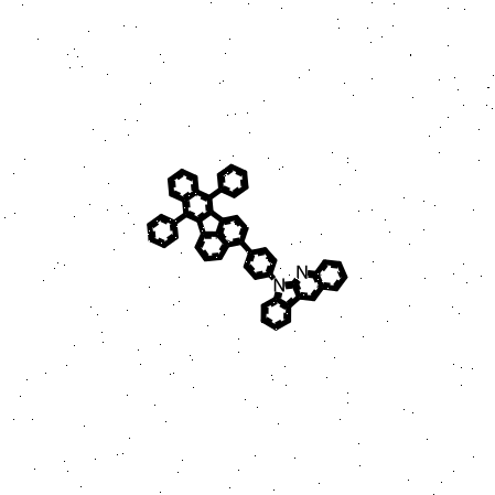 c1ccc(-c2c3c(c(-c4ccccc4)c4ccccc24)-c2ccc(-c4ccc(-n5c6ccccc6c6cc7ccccc7nc65)cc4)c4cccc-3c24)cc1